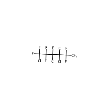 FC(F)(F)C(F)(F)C(Cl)(Cl)C(F)(Cl)C(F)(F)C(F)(F)Cl